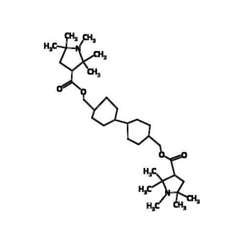 CN1C(C)(C)CC(C(=O)OCC2CCC(C3CCC(COC(=O)C4CC(C)(C)N(C)C4(C)C)CC3)CC2)C1(C)C